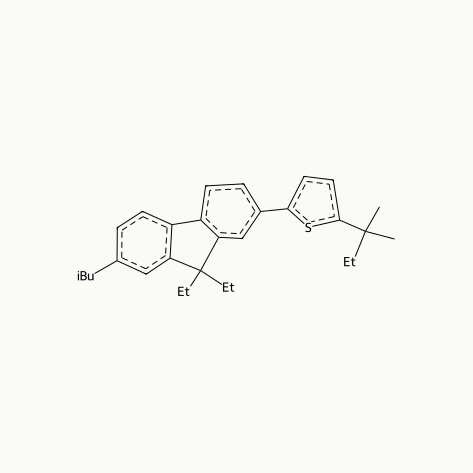 CCC(C)c1ccc2c(c1)C(CC)(CC)c1cc(-c3ccc(C(C)(C)CC)s3)ccc1-2